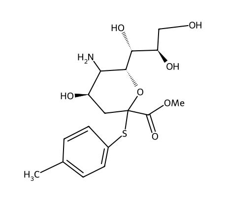 COC(=O)C1(Sc2ccc(C)cc2)C[C@@H](O)C(N)[C@H]([C@H](O)[C@H](O)CO)O1